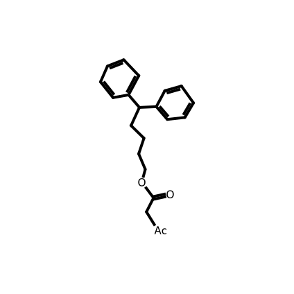 CC(=O)CC(=O)OCCCCC(c1ccccc1)c1ccccc1